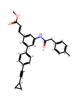 COC(=O)/C=C/c1cc(NC(=O)Cc2ccc(C)cc2)cc(-c2ccc(C#CC3CC3)cc2)c1